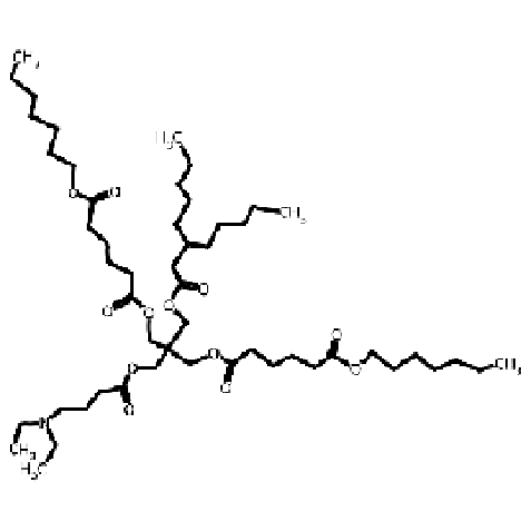 CCCCCCCOC(=O)CCCCC(=O)OCC(COC(=O)CCCCC(=O)OCCCCCCC)(COC(=O)CCCN(CC)CC)COC(=O)CC(CCCCC)CCCCC